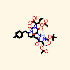 CCC(OC(C)=O)C(C(=O)O)N(C(=O)C1CCC(C(=O)[C@H](NC(=O)OC(C)(C)C)[C@@H](C)OC(C)=O)N1)C(=O)N1CCCC1Cc1ccc(C)cc1